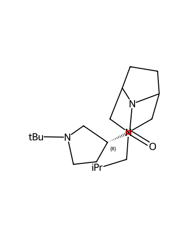 CC(C)CN1CC2CCC(C1)N2C(=O)[C@@H]1CCN(C(C)(C)C)C1